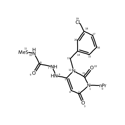 CCCn1c(=O)cc(NNC(=O)NSC)n(Cc2cccc(Cl)c2)c1=O